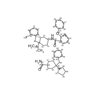 CN(C)C1(Cc2ccccc2F)CCC(NC(=O)c2cccnc2Oc2ccccc2)CC1.NC(=O)C1CCC(Cc2ccccc2)(N2CCCC2)CC1